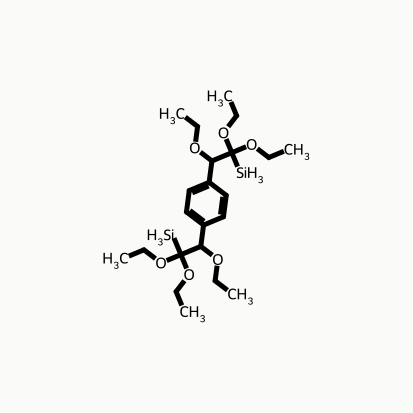 CCOC(c1ccc(C(OCC)C([SiH3])(OCC)OCC)cc1)C([SiH3])(OCC)OCC